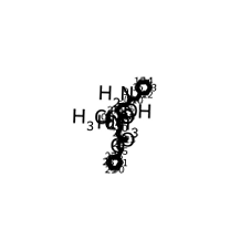 CC(C)C[C@H](C[C@H](O)[C@@H](N)CC1CCCCC1)C(=O)NCCC(=O)OCc1ccccc1